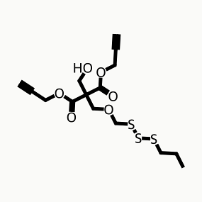 C#CCOC(=O)C(CO)(COCSSSCCC)C(=O)OCC#C